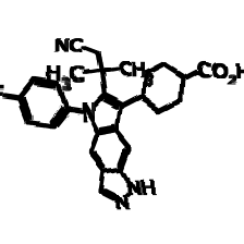 CC(C)(CC#N)c1c(C2CCC(C(=O)O)CC2)c2cc3[nH]ncc3cc2n1-c1ccc(F)cc1